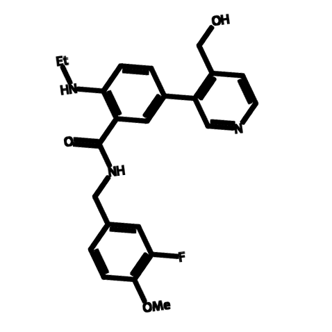 CCNc1ccc(-c2cnccc2CO)cc1C(=O)NCc1ccc(OC)c(F)c1